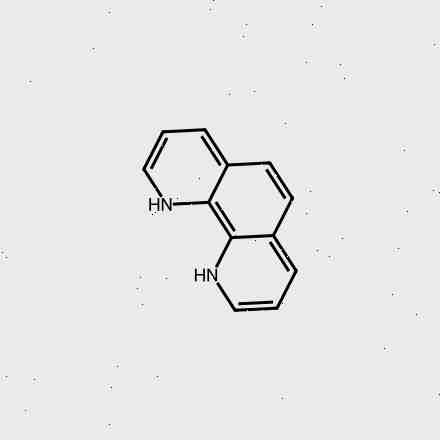 C1=CNc2c3c(ccc2=C1)=CC=CN3